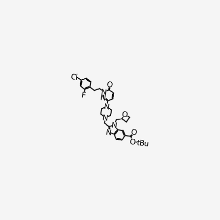 CC(C)(C)OC(=O)c1ccc2nc(CN3CCN(c4ccc(=O)n(CCc5ccc(Cl)cc5F)n4)CC3)n(C[C@@H]3CCO3)c2c1